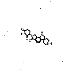 O=C1CC[C@H](N2Cc3c(ccc4c3NCC43CCNCC3)C2=O)C(=O)N1